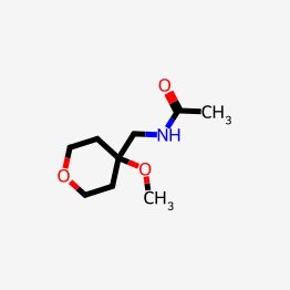 COC1(CNC(C)=O)CCOCC1